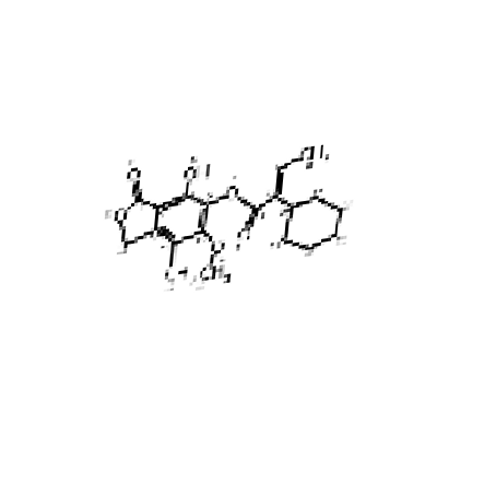 CC=C(C(=O)Oc1c(O)c2c(c(C)c1OC)COC2=O)C1CCCCC1